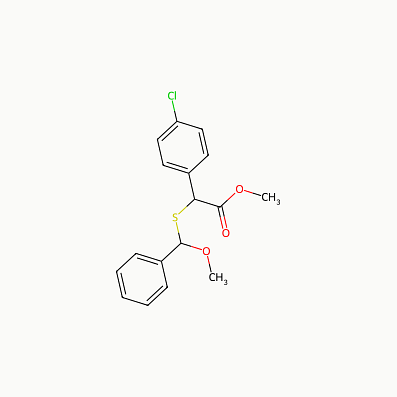 COC(=O)C(SC(OC)c1ccccc1)c1ccc(Cl)cc1